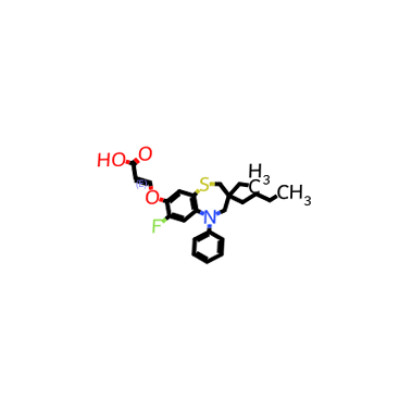 CCCCC1(CC)CSc2cc(O/C=C/C(=O)O)c(F)cc2N(c2ccccc2)C1